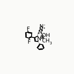 CB(O)N1[C@@H](CN=[N+]=[N-])C(c2cc(F)ccc2F)=C[C@H]1c1ccccc1